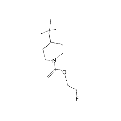 C=C(OCCF)N1CCC(C(C)(C)C)CC1